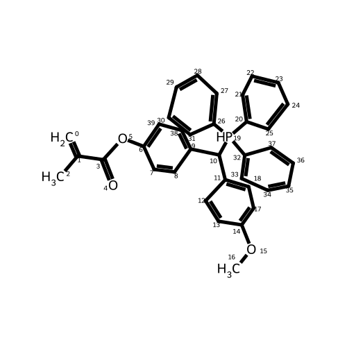 C=C(C)C(=O)Oc1ccc(C(c2ccc(OC)cc2)[PH](c2ccccc2)(c2ccccc2)c2ccccc2)cc1